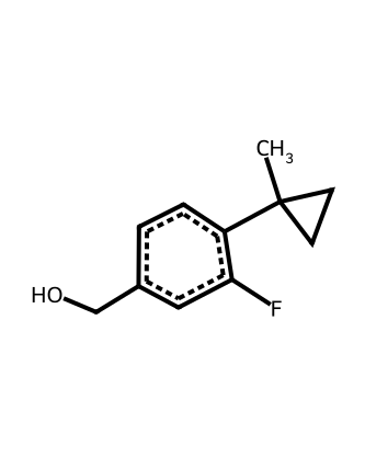 CC1(c2ccc(CO)cc2F)CC1